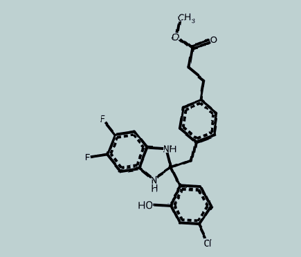 COC(=O)CCc1ccc(CC2(c3ccc(Cl)cc3O)Nc3cc(F)c(F)cc3N2)cc1